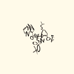 CC(C)Sc1ccc(OC(F)F)c(-c2nn(CC(=O)OC(C)(C)C)cc2NC(=O)c2cnn3cccnc23)c1